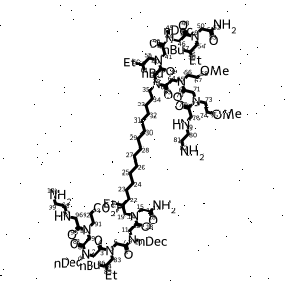 CCCCCCCCCCN(CC(=O)N(CC(=O)N(CCCCCCCCCC)CC(=O)N(CC(N)=O)CC(CC)CCCCCCCCCCCCCCN(CC(=O)N(CC(=O)N(CCCCCCCCCC)CC(=O)N(CC(N)=O)CC(CC)CCCC)CC(CC)CCCC)C(=O)CN(CCOC)C(=O)CN(CCOC)C(=O)CNCCN)CC(CC)CCCC)C(=O)CN(CCC(=O)O)C(=O)CNCCN